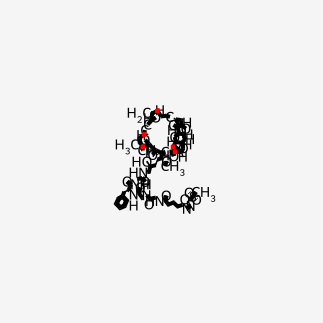 C=C1C[C@@H]2CC[C@@]34C[C@H]5O[C@@H]6C(O[C@H]7CC[C@H](CC(=O)C[C@@H]8[C@@H](OC)[C@@H](C[C@H](O)CNC(=O)CNC(=O)[C@H](Cc9ccccc9)NC(=O)CNC(=O)CNC(=O)CCCc9nnc(S(C)(=O)=O)o9)O[C@H]8C[C@H]8O[C@@H](CC[C@@H]1O2)C[C@@H](C)C8=C)O[C@@H]7[C@@H]6O3)[C@H]5O4